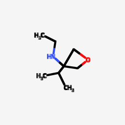 CCNC1(C(C)C)COC1